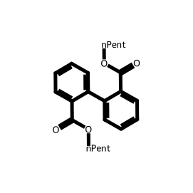 CCCCCOC(=O)c1ccccc1-c1ccccc1C(=O)OCCCCC